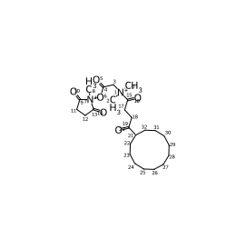 C[N+](C)(CC(=O)O[N+]1(C)C(=O)CCC1=O)C(=O)CCC(=O)C1CCCCCCCCCCC1